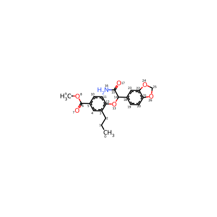 CCCc1cc(C(=O)OC)ccc1OC(C(N)=O)c1ccc2c(c1)OCO2